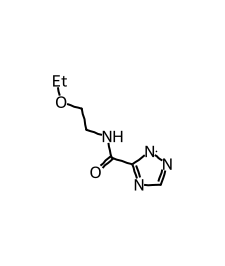 CCOCCNC(=O)C1=NC=N[N]1